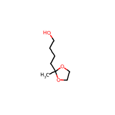 CC1(CCCCO)OCCO1